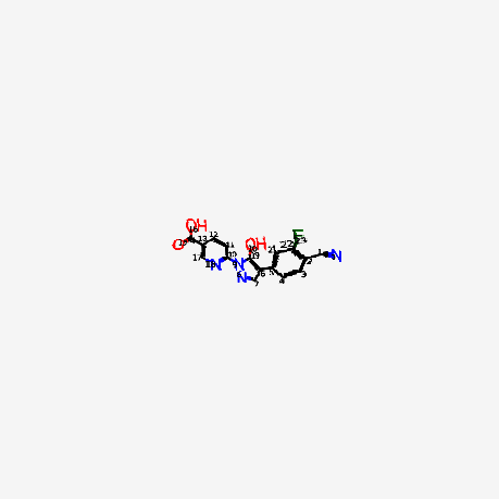 N#Cc1ccc(-c2cnn(-c3ccc(C(=O)O)cn3)c2O)cc1F